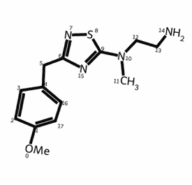 COc1ccc(Cc2nsc(N(C)CCN)n2)cc1